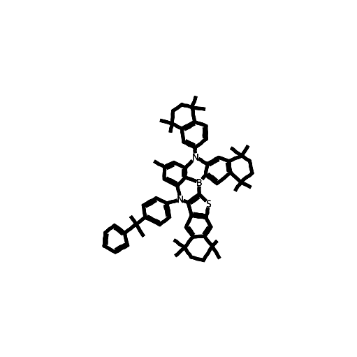 Cc1cc2c3c(c1)N(c1ccc(C(C)(C)c4ccccc4)cc1)c1c(sc4cc5c(cc14)C(C)(C)CCC5(C)C)B3c1cc3c(cc1N2c1ccc2c(c1)C(C)(C)CCC2(C)C)C(C)(C)CCC3(C)C